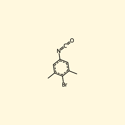 Cc1cc(N=C=O)cc(C)c1Br